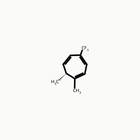 CC1=CC=C(C(F)(F)F)C=C[C@H]1C